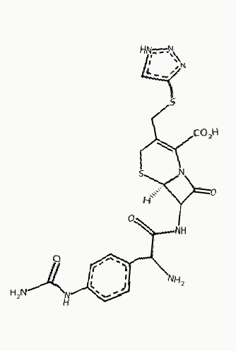 NC(=O)Nc1ccc(C(N)C(=O)NC2C(=O)N3C(C(=O)O)=C(CSc4c[nH]nn4)CS[C@H]23)cc1